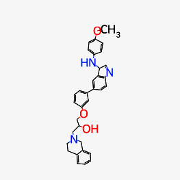 COc1ccc(NC2C=Nc3ccc(-c4cccc(OCC(O)CN5CCc6ccccc6C5)c4)cc32)cc1